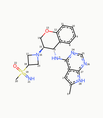 Cc1cc2c(N[C@H]3c4ccccc4OC[C@@H]3N3CC(S(C)(=N)=O)C3)ncnc2[nH]1